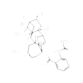 CNC(=O)Nc1ccccc1C(=O)O[C@@]12CC[C@H](OC)CC34C1C[C@@H](N3N[C@H]2C)[C@@]1(O)C[C@H](C)[C@H]2CC4[C@]1(O)[C@H]2OC